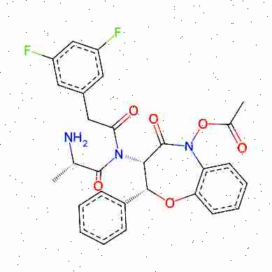 CC(=O)ON1C(=O)[C@@H](N(C(=O)Cc2cc(F)cc(F)c2)C(=O)[C@H](C)N)[C@@H](c2ccccc2)Oc2ccccc21